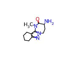 CN1C(=O)C(N)CCn2nc3c(c21)CCCC3